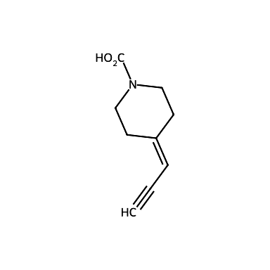 C#CC=C1CCN(C(=O)O)CC1